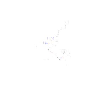 CCCCNP(C)(N=P(C)(C)N=P(C)(C)C)=NC